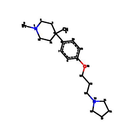 CC(C)N1CCC(C#N)(c2ccc(OCCCN3CCCC3)cc2)CC1